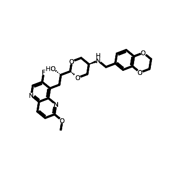 COc1ccc2ncc(F)c(C[C@H](O)[C@H]3OC[C@H](NCc4ccc5c(c4)OCCO5)CO3)c2n1